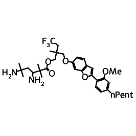 CCCCCc1ccc(-c2cc3ccc(OCC(C)(COC(=O)C(C)(C)C(N)CC(C)(C)N)CC(F)(F)F)cc3o2)c(OC)c1